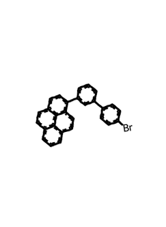 Brc1ccc(-c2cccc(-c3ccc4ccc5cccc6ccc3c4c56)c2)cc1